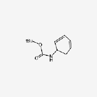 CC(C)(C)OC(=O)NC1C=CC=CC1